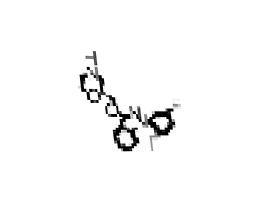 Fc1ccc(F)c(-n2nc(OC[C@@H]3CNCCO3)c3ccccc32)c1